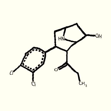 CCC(=O)C1C(c2ccc(Cl)c(Cl)c2)CC2CC(O)C1N2